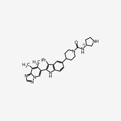 Cc1c(-c2[nH]c3ccc(C4CCN(C(=O)N[C@H]5CCNC5)CC4)cc3c2C(C)C)cn2ncnc2c1C